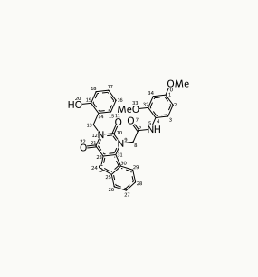 COc1ccc(NC(=O)Cn2c(=O)n(Cc3ccccc3O)c(=O)c3sc4ccccc4c32)c(OC)c1